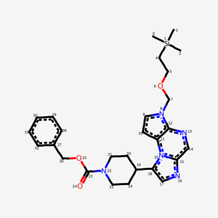 C[Si](C)(C)CCOCn1ccc2c1ncc1ncc(C3CCN(C(=O)OCc4ccccc4)CC3)n12